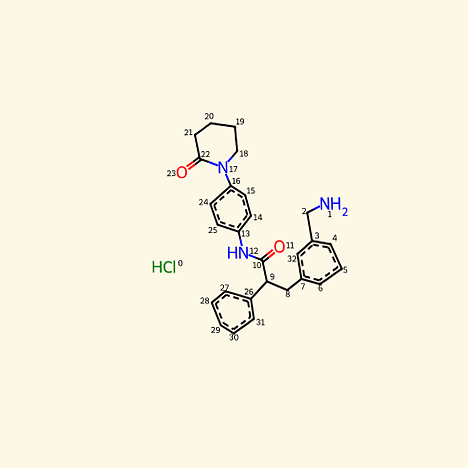 Cl.NCc1cccc(CC(C(=O)Nc2ccc(N3CCCCC3=O)cc2)c2ccccc2)c1